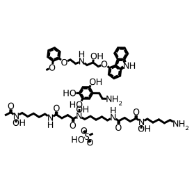 CC(=O)N(O)CCCCCNC(=O)CCC(=O)N(O)CCCCCNC(=O)CCC(=O)N(O)CCCCCN.COc1ccccc1OCCNCC(O)COc1cccc2[nH]c3ccccc3c12.CS(=O)(=O)O.NCCc1cc(O)c(O)cc1O